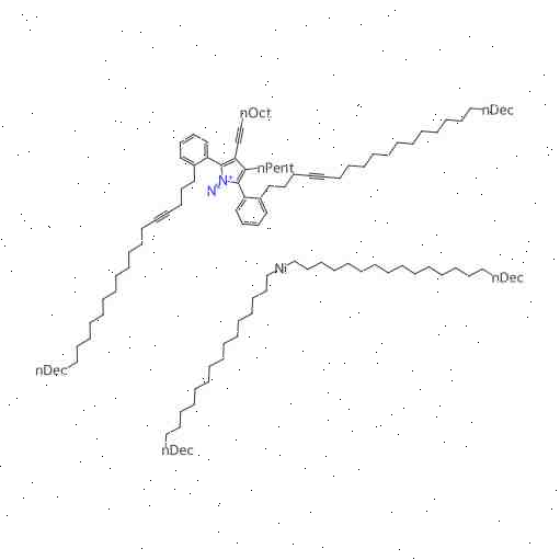 CCCCCCCCC#CC1=C(c2ccccc2CCCC#CCCCCCCCCCCCCCCCCCCCCCC)[N+](=[N-])C(c2ccccc2CCCC#CCCCCCCCCCCCCCCCCCCCCCC)=C1CCCCC.CCCCCCCCCCCCCCCCCCCCCCCC[CH2][Ni][CH2]CCCCCCCCCCCCCCCCCCCCCCCC